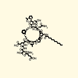 CCCCCCCCCCCC(=O)N[C@H]1C[C@H]2C(=O)N[C@@H](CCC(N)=O)C(=O)N[C@H](C(=O)N[C@@H](CC(=O)O)C(=O)N3CCC[C@H]3C(C)=O)CSCc3ccccc3CSC[C@@H](NC(=O)C(CCC(=O)O)NC(=O)NC(=O)[C@@H](NC(=O)[C@H](N)CCC(=O)O)[C@@H](C)O)C(=O)N[C@H](CC(C)C)C(=O)N3CCC[C@@H]3C(=O)N2C1